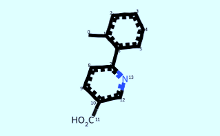 Cc1ccccc1-c1ccc(C(=O)O)cn1